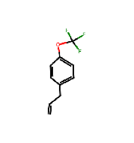 [CH]=CCc1ccc(OC(F)(F)F)cc1